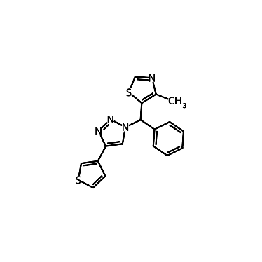 Cc1ncsc1C(c1ccccc1)n1cc(-c2ccsc2)nn1